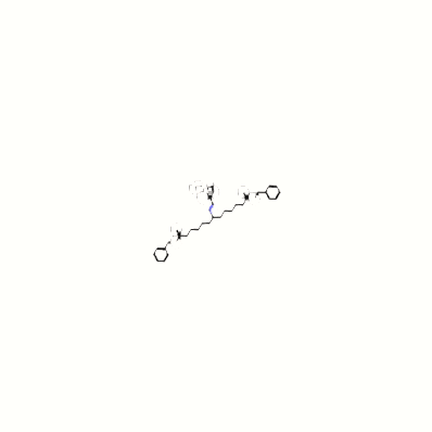 CC(C)(C)OC(=O)/C=C/C(CCCCCC(=O)OCc1ccccc1)CCCCCC(=O)OCc1ccccc1